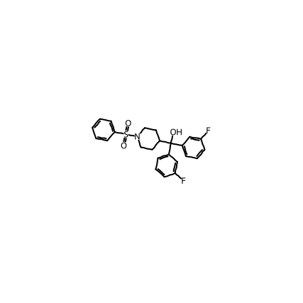 O=S(=O)(c1ccccc1)N1CCC(C(O)(c2cccc(F)c2)c2cccc(F)c2)CC1